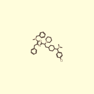 CN(Cc1ccccc1)c1oc(C(CC2CCC(C(c3ccc(Cl)cc3)N(C)C)CC2)N2CCCCC2)nc1Cc1ccccc1